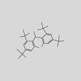 [CH2]C(c1c(C)cc(C(C)(C)C)cc1C(C)(C)C)c1c(C)cc(C(C)(C)C)cc1C(C)(C)C